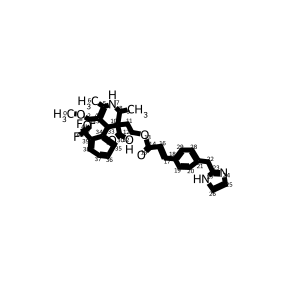 COC(=O)C1=C(C)NC(C)C(CCOC(=O)C=Cc2ccc(Cc3ncc[nH]3)cc2)(C(=O)O)C1c1ccccc1C(F)(F)F